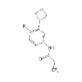 O=C(CC(F)(F)F)Nc1ccc(F)c(C2CCC2)c1